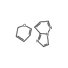 C1=CCOC=C1.c1cnn2ccnc2c1